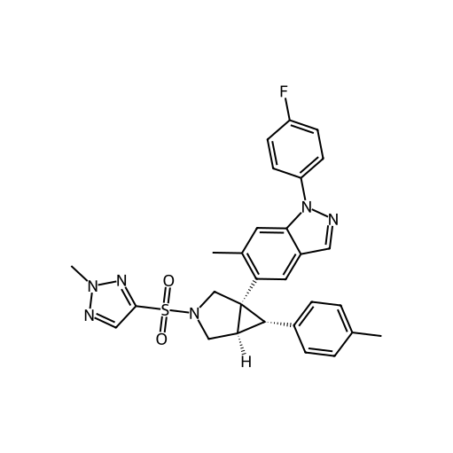 Cc1ccc([C@@H]2[C@H]3CN(S(=O)(=O)c4cnn(C)n4)C[C@]32c2cc3cnn(-c4ccc(F)cc4)c3cc2C)cc1